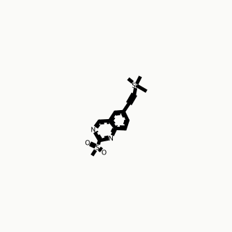 C[Si](C)(C)C#Cc1ccc2nc(S(C)(=O)=O)ncc2c1